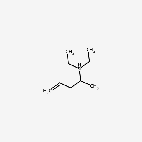 C=CCC(C)[SiH](CC)CC